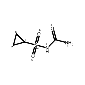 NC(=O)NS(=O)(=O)C1CC1